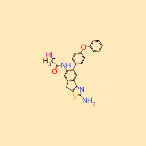 CC(=O)Nc1cc2c(cc1-c1ccc(Oc3ccccc3)cc1)-c1nc(N)sc1C2.I